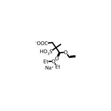 C=COC(=O)C(C)(CC(=O)[O-])S(=O)(=O)O.CCOCC.[Na+]